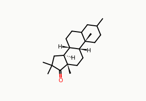 CC1CC[C@@]2(C)C(CC[C@@H]3[C@H]2CC[C@]2(C)C(=O)C(C)(C)C[C@@H]32)C1